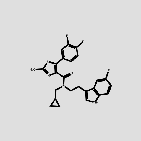 Cc1nc(C(=O)N(CCc2c[nH]c3ccc(F)cc23)CC2CC2)c(-c2ccc(F)c(F)c2)s1